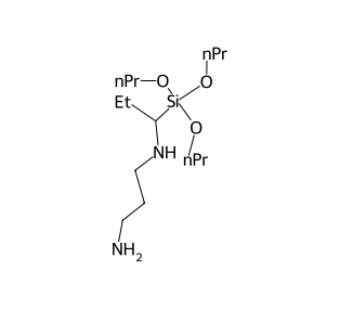 CCCO[Si](OCCC)(OCCC)C(CC)NCCCN